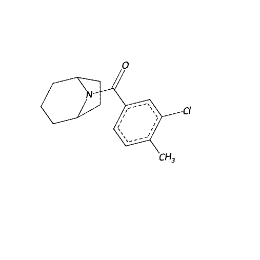 Cc1ccc(C(=O)N2C3CCCC2CC3)cc1Cl